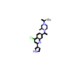 C=C(CCCC)N1CCN(C(=C)c2ccc3c(Cl)cc(-c4cc[nH]c4)nc3c2)C(C)C1